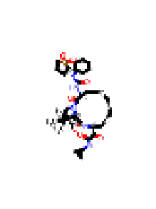 CC1(C)[C@@H]2[C@H]3C(=O)N[C@H](C(=O)C(=O)NC4CC4)CCCCCCCC[C@H](NC(=O)NC4([C@H]5CCCS5(=O)=O)CCCCC4)C(=O)N3C[C@@H]21